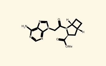 COC(=O)[C@@H]1C[C@H]2CC[C@H]2N1C(=O)Cn1cnc2c(N)ncnc21